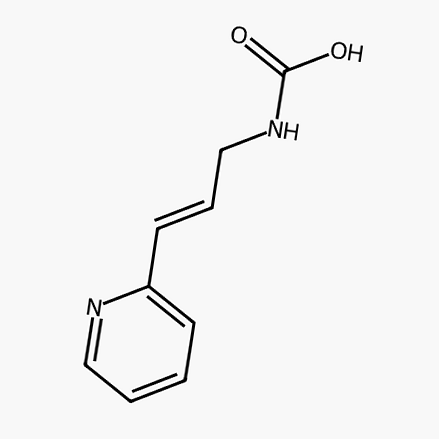 O=C(O)NCC=Cc1ccccn1